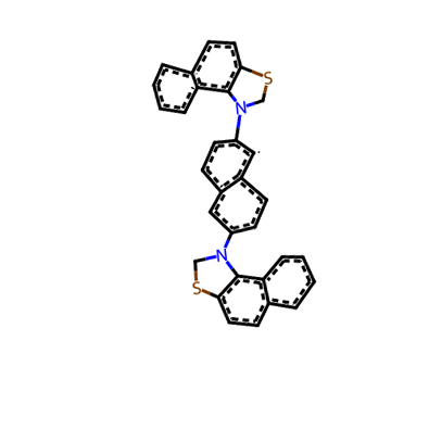 [c]1c(N2CSc3ccc4ccccc4c32)ccc2cc(N3CSc4ccc5ccccc5c43)ccc12